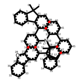 CC1(C)c2ccccc2-c2c(-c3ccccc3N(c3ccccc3-c3ccc4oc5ccccc5c4c3)c3ccccc3-c3cccc4c3C(C)(C)c3ccccc3-4)cccc21